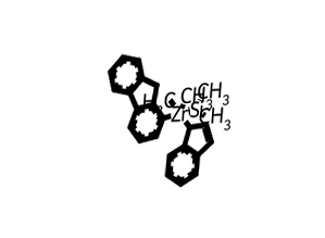 C[Si](C)=[Zr]([CH3])([CH3])([c]1cccc2c1Cc1ccccc1-2)[CH]1C=Cc2ccccc21